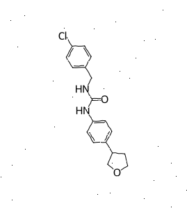 O=C(NCc1ccc(Cl)cc1)Nc1ccc(C2CCOC2)cc1